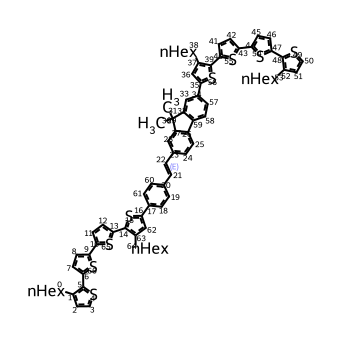 CCCCCCc1ccsc1-c1ccc(-c2ccc(-c3sc(-c4ccc(/C=C/c5ccc6c(c5)C(C)(C)c5cc(-c7cc(CCCCCC)c(-c8ccc(-c9ccc(-c%10sccc%10CCCCCC)s9)s8)s7)ccc5-6)cc4)cc3CCCCCC)s2)s1